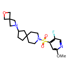 COc1cc(S(=O)(=O)N2CCC3(CCC(N4CC5(COC5)C4)C3)CC2)c(F)cn1